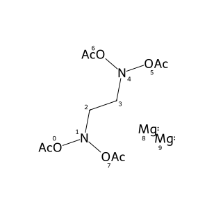 CC(=O)ON(CCN(OC(C)=O)OC(C)=O)OC(C)=O.[Mg].[Mg]